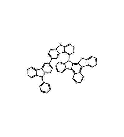 c1ccc(-n2c3ccccc3c3cc(-c4ccc5oc6cccc(-n7c8ccccc8c8c9ccccc9c9c%10ccccc%10sc9c87)c6c5c4)ccc32)cc1